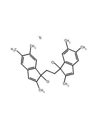 CC1=Cc2cc(C)c(C)cc2C1(Cl)CCC1(Cl)C(C)=Cc2cc(C)c(C)cc21.[Ti]